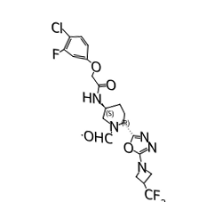 O=[C]N1C[C@@H](NC(=O)COc2ccc(Cl)c(F)c2)CC[C@@H]1c1nnc(N2CC(C(F)(F)F)C2)o1